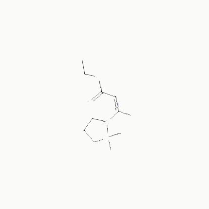 CCOC(=S)/C=C(/C)N1CCC[Si]1(C)C